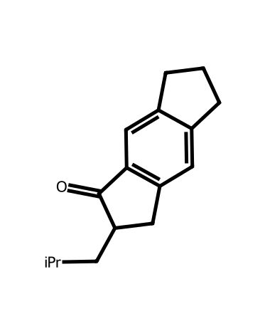 CC(C)CC1Cc2cc3c(cc2C1=O)CCC3